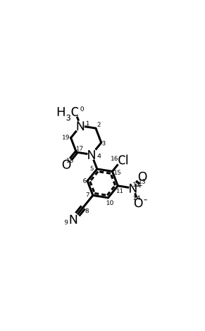 CN1CCN(c2cc(C#N)cc([N+](=O)[O-])c2Cl)C(=O)C1